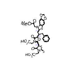 COC(=O)CN1/C(=C/C(Cc2ccccc2)=c2/o/c(=C3\SC(=S)N(CC(=O)O)C3=O)n(CC(=O)O)c2=O)Sc2cc3c(cc21)OCO3